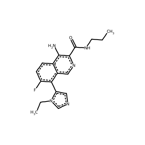 CCCNC(=O)c1ncc2c(-c3cncn3CC)c(F)ccc2c1N